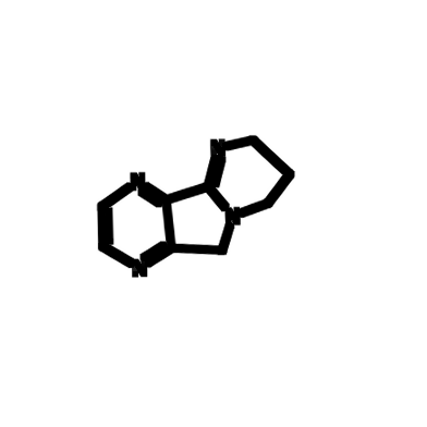 c1cnc2c(n1)CN1CCCN=C21